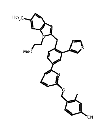 COCCn1c(Cc2ccc(-c3cccc(OCc4ccc(C#N)cc4F)n3)cc2-c2ccsc2)nc2ccc(C(=O)O)cc21